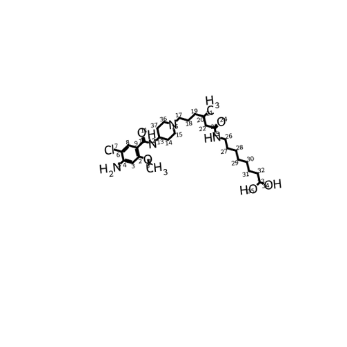 COc1cc(N)c(Cl)cc1C(=O)NC1CCN(CCCC(C)CC(=O)NCCCCCCCC(O)O)CC1